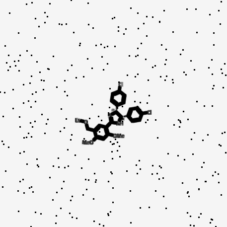 CCOCc1cc(C2=N[C@H](c3ccc(Cl)cc3)[C@H](c3ccc(Cl)cc3)N2)c(OC)cc1OC